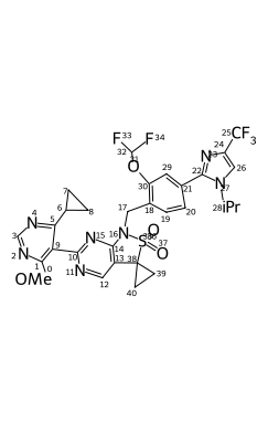 COc1ncnc(C2CC2)c1-c1ncc2c(n1)N(Cc1ccc(-c3nc(C(F)(F)F)cn3C(C)C)cc1OC(F)F)S(=O)(=O)C21CC1